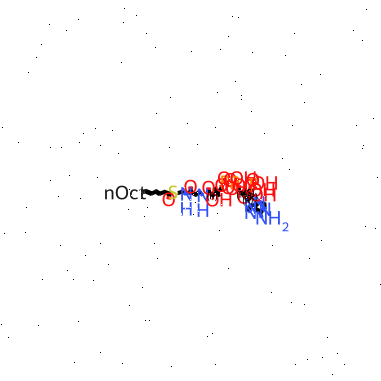 CCCCCCCCC=CC=CCC(=O)SCCNC(=O)CCNC(=O)[C@H](O)C(C)(C)COP(=O)(O)OP(=O)(O)OC[C@H]1O[C@@H](n2cnc3c(N)ncnc32)[C@H](O)[C@@H]1OP(=O)(O)O